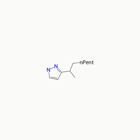 CCCCCCC(C)C1=N[N]C=C1